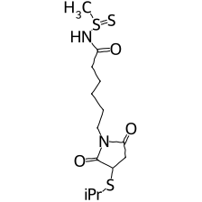 CC(C)SC1CC(=O)N(CCCCCC(=O)NS(C)=S)C1=O